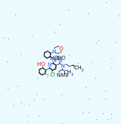 C=CCCN(/C(=N/C)c1cc(Cl)c(-c2c(O)cccc2F)nc1N(C=O)c1ccccc1N1CCOCC1)C(C)CNC